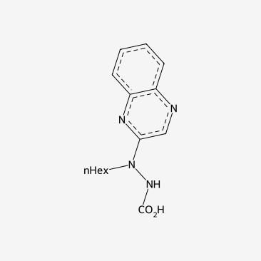 CCCCCCN(NC(=O)O)c1cnc2ccccc2n1